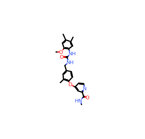 CNC(=O)c1cc(Oc2ccc(CNC(=O)Nc3cc(C)c(C)cc3OC)cc2C)ccn1